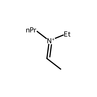 C/C=[N+](\CC)CCC